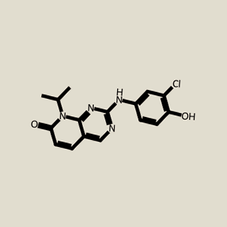 CC(C)n1c(=O)ccc2cnc(Nc3ccc(O)c(Cl)c3)nc21